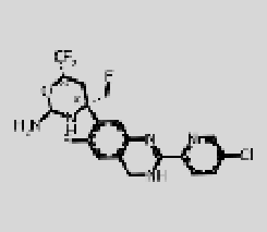 NC1N[C@](CF)(c2cc3c(cc2F)CNC(c2ccc(Cl)cn2)=N3)C[C@@H](C(F)(F)F)O1